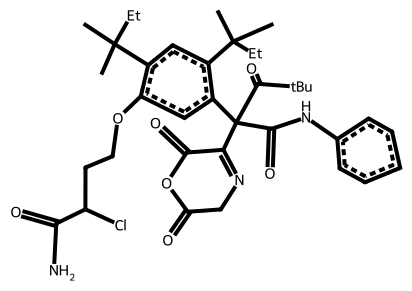 CCC(C)(C)c1cc(C(C)(C)CC)c(C(C(=O)Nc2ccccc2)(C(=O)C(C)(C)C)C2=NCC(=O)OC2=O)cc1OCCC(Cl)C(N)=O